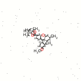 C=c1ccc2c(c1)Oc1cc(B3OC(C)(C)C(C)(C)O3)ccc1C=2c1ccc(OC)cc1C